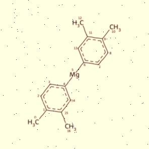 Cc1cc[c]([Mg][c]2ccc(C)c(C)c2)cc1C